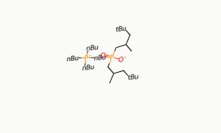 CC(CC(C)(C)C)CP(=O)([O-])CC(C)CC(C)(C)C.CCCC[P+](CCCC)(CCCC)CCCC